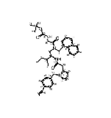 CCC(C)C(CN(Cc1cccc2ccccc12)C(=O)CNC(=O)OC(C)(C)C)NC(=O)Cc1cncn1Cc1ccc(C#N)cc1